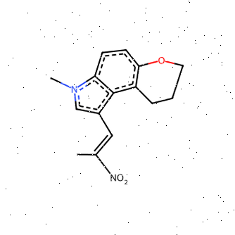 C/C(=C\c1cn(C)c2ccc3c(c12)CCCO3)[N+](=O)[O-]